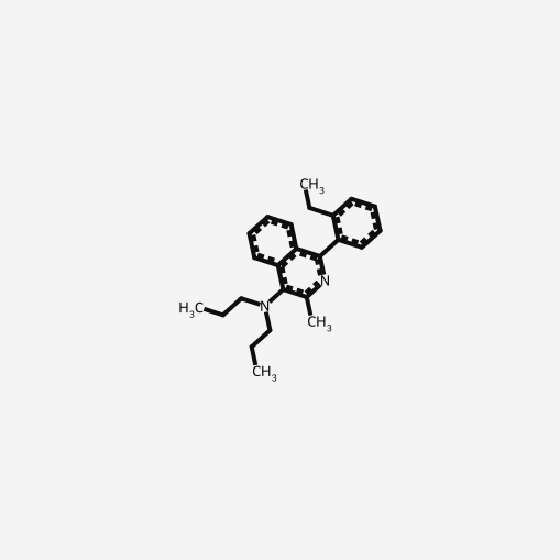 CCCN(CCC)c1c(C)nc(-c2ccccc2CC)c2ccccc12